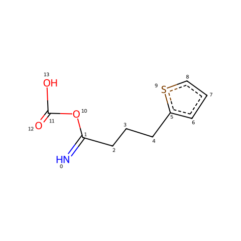 N=C(CCCc1cccs1)OC(=O)O